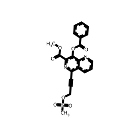 COC(=O)c1nc(C#CCOS(C)(=O)=O)c2cccnc2c1OC(=O)c1ccccc1